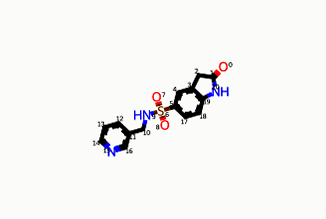 O=C1Cc2cc(S(=O)(=O)NCc3cccnc3)ccc2N1